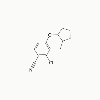 CC1CCCC1Oc1ccc(C#N)c(Cl)c1